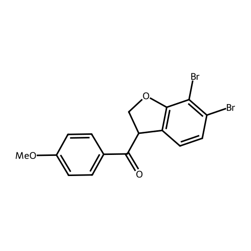 COc1ccc(C(=O)C2COc3c2ccc(Br)c3Br)cc1